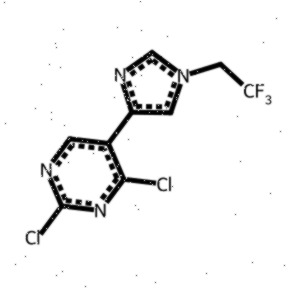 FC(F)(F)Cn1cnc(-c2cnc(Cl)nc2Cl)c1